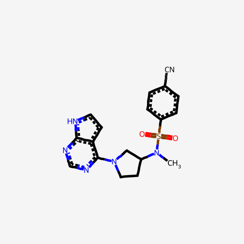 CN(C1CCN(c2ncnc3[nH]ccc23)C1)S(=O)(=O)c1ccc(C#N)cc1